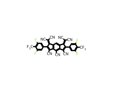 N#CC(C#N)=C1C(c2cc(F)c(C(F)(F)F)c(F)c2)=C(C#N)c2c1cc1c(c2C#N)C(C#N)=C(c2cc(F)c(C(F)(F)F)c(F)c2)C1=C(C#N)C#N